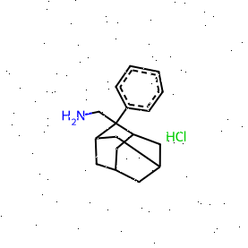 Cl.NCC1(c2ccccc2)C2CC3CC(C2)CC1C3